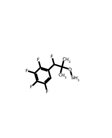 CC(C)(O[SiH3])C(F)c1cc(F)c(F)c(F)c1F